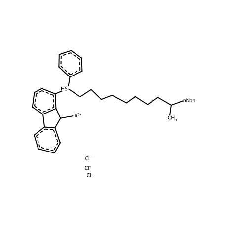 CCCCCCCCCC(C)CCCCCCCC[SiH](c1ccccc1)c1cccc2c1[CH]([Ti+3])c1ccccc1-2.[Cl-].[Cl-].[Cl-]